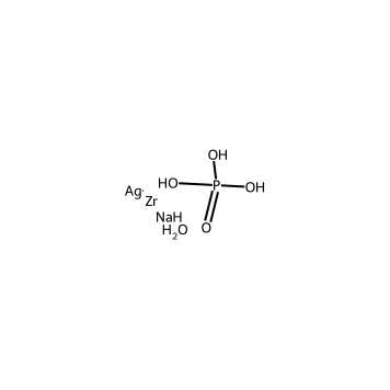 O.O=P(O)(O)O.[Ag].[NaH].[Zr]